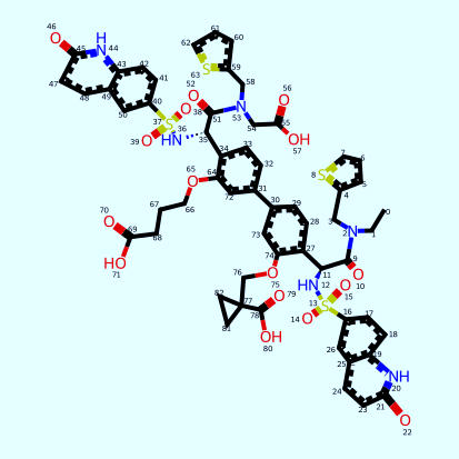 CCN(Cc1cccs1)C(=O)[C@@H](NS(=O)(=O)c1ccc2[nH]c(=O)ccc2c1)c1ccc(-c2ccc([C@H](NS(=O)(=O)c3ccc4[nH]c(=O)ccc4c3)C(=O)N(CC(=O)O)Cc3cccs3)c(OCCCC(=O)O)c2)cc1OCC1(C(=O)O)CC1